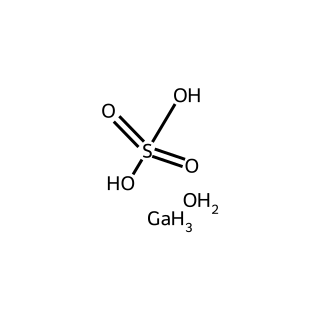 O.O=S(=O)(O)O.[GaH3]